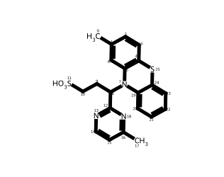 Cc1ccc2c(c1)N(C(CCS(=O)(=O)O)c1nccc(C)n1)c1ccccc1S2